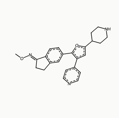 CON=C1CCc2cc(-c3oc(C4CCNCC4)cc3-c3ccncc3)ccc21